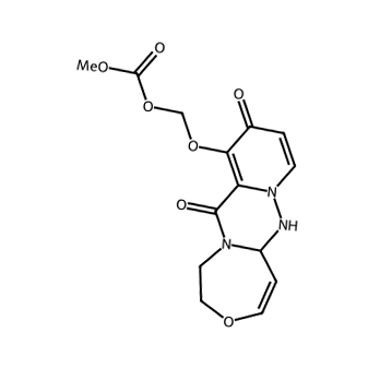 COC(=O)OCOc1c2n(ccc1=O)NC1C=COCCN1C2=O